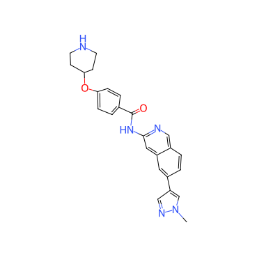 Cn1cc(-c2ccc3cnc(NC(=O)c4ccc(OC5CCNCC5)cc4)cc3c2)cn1